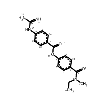 CCN(C)C(=O)c1ccc(OC(=O)c2ccc(NC(=N)N)cc2)cc1